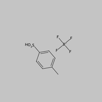 Cc1ccc(S(=O)(=O)O)cc1.F[B-](F)(F)F